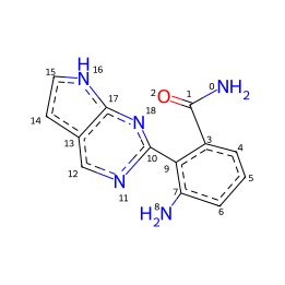 NC(=O)c1cccc(N)c1-c1ncc2cc[nH]c2n1